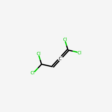 ClC(Cl)=C=CC(Cl)Cl